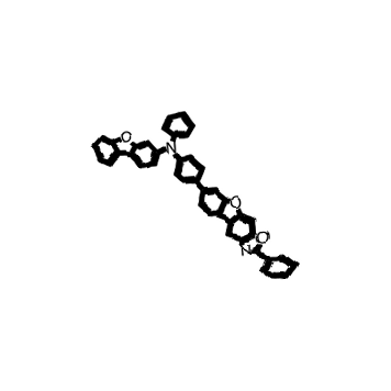 c1ccc(-c2nc3cc4c(cc3o2)oc2cc(-c3ccc(N(c5ccccc5)c5ccc6c(c5)oc5ccccc56)cc3)ccc24)cc1